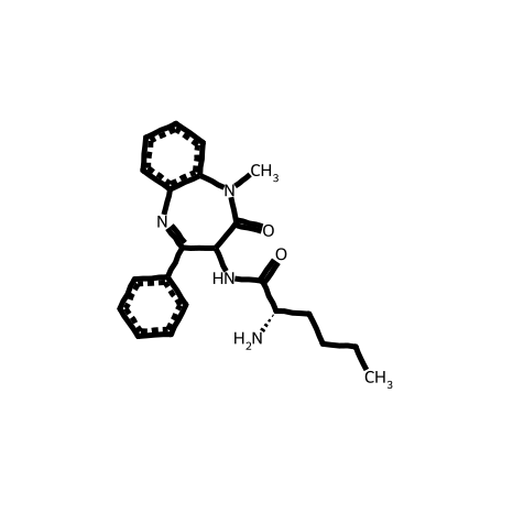 CCCC[C@H](N)C(=O)NC1C(=O)N(C)c2ccccc2N=C1c1ccccc1